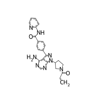 C=CC(=O)N1CCC(n2nc(-c3ccc(C(=O)Nc4ccccn4)cc3)c3c(N)ncnc32)C1